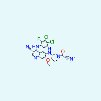 CCOc1cc2ncc(C#N)c(Nc3ccc(Cl)c(Cl)c3F)c2cc1NC1CCCN(C(=O)/C=C/N(C)C)C1